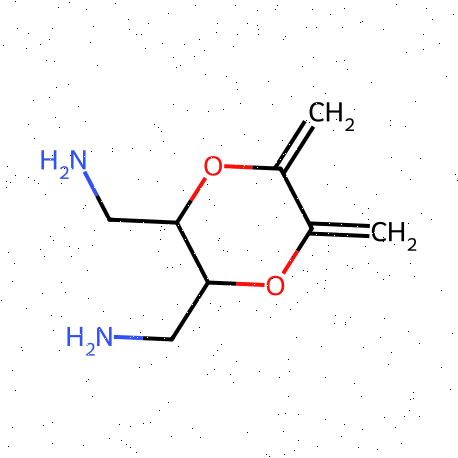 C=C1OC(CN)C(CN)OC1=C